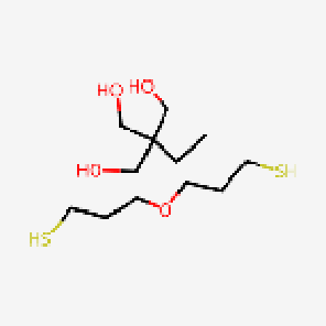 CCC(CO)(CO)CO.SCCCOCCCS